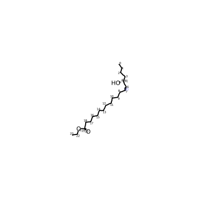 CCCC[C@@H](O)/C=C\CCCCCCCCCCCC(=O)OCC